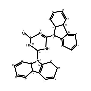 ClC1N=C(N2c3ccccc3C3C=CC=CC32)NC(N2C3=C(C=CCC3)C3C=CC=CC32)N1